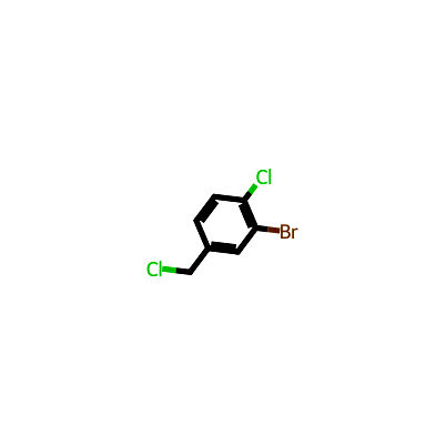 ClCc1ccc(Cl)c(Br)c1